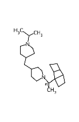 CC(C)N1CCC(CC2CCN([C@H](C)C34CCC3C3CCC34)CC2)CC1